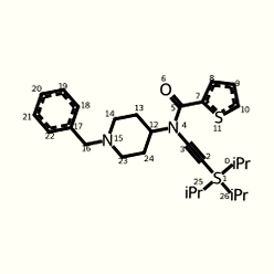 CC(C)S(C#CN(C(=O)c1cccs1)C1CCN(Cc2ccccc2)CC1)(C(C)C)C(C)C